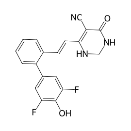 N#CC1=C(/C=C/c2ccccc2-c2cc(F)c(O)c(F)c2)NCNC1=O